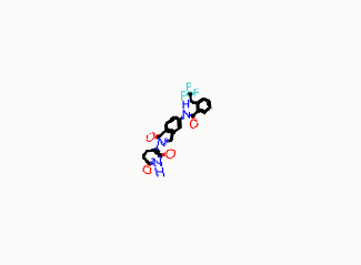 O=C1CCC(N2Cc3cc(NC(=O)c4ccccc4CC(F)(F)F)ccc3C2=O)C(=O)N1